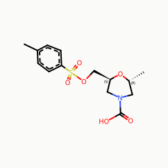 Cc1ccc(S(=O)(=O)OC[C@@H]2CN(C(=O)O)C[C@@H](C)O2)cc1